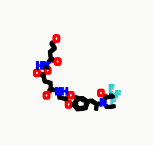 CCN(C(=O)C(F)(F)F)C(C)Cc1ccc2c(c1)OC(CNC(=O)CCC(=O)ONC(=O)CCC=O)O2